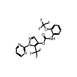 O=C(Nc1ccccc1OC(F)(F)F)Oc1cnn(-c2ncccn2)c1C(F)(F)F